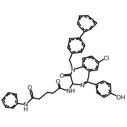 O=C(CCCC(=O)NC1N=C(c2ccc(O)cc2)c2cc(Cl)ccc2N(Cc2ccc(-c3ccccc3)cc2)C1=O)Nc1ccccc1